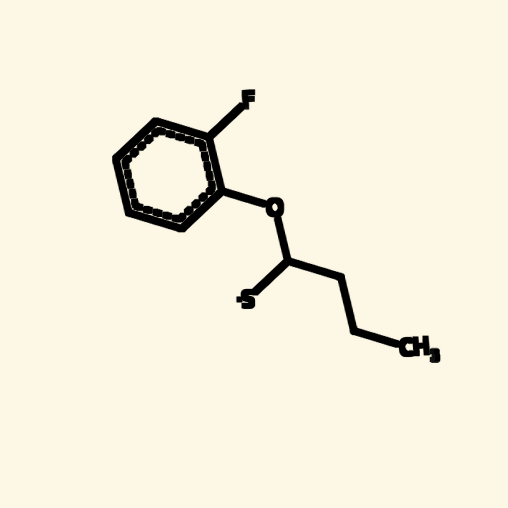 CCCC([S])Oc1ccccc1F